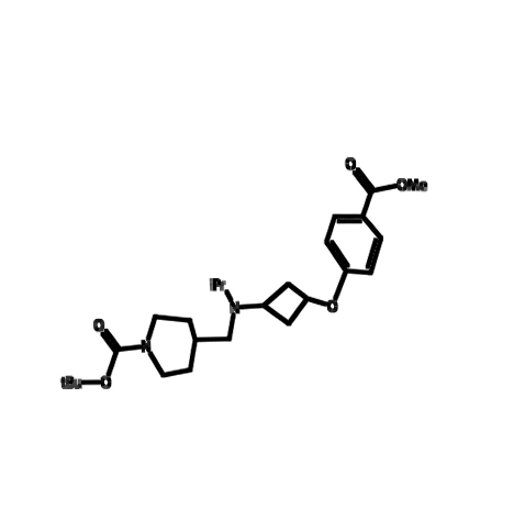 COC(=O)c1ccc(OC2CC(N(CC3CCN(C(=O)OC(C)(C)C)CC3)C(C)C)C2)cc1